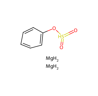 O=[SH](=O)Oc1ccccc1.[MgH2].[MgH2]